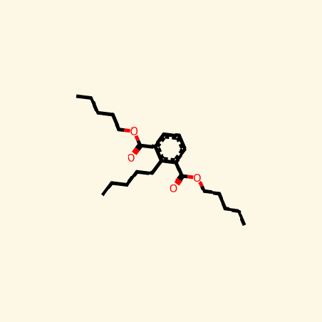 CCCCCOC(=O)c1cccc(C(=O)OCCCCC)c1CCCCC